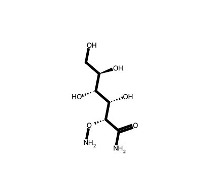 NO[C@@H](C(N)=O)[C@@H](O)[C@H](O)[C@H](O)CO